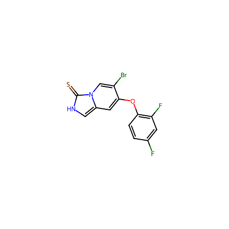 Fc1ccc(Oc2cc3c[nH]c(=S)n3cc2Br)c(F)c1